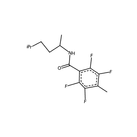 Cc1c(F)c(F)c(C(=O)NC(C)CCC(C)C)c(F)c1F